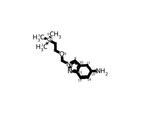 C[Si](C)(C)CCOCn1cc2c(n1)C=CC(N)C2